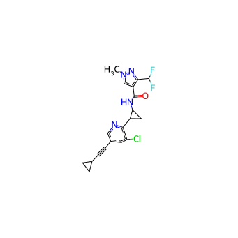 Cn1cc(C(=O)NC2CC2c2ncc(C#CC3CC3)cc2Cl)c(C(F)F)n1